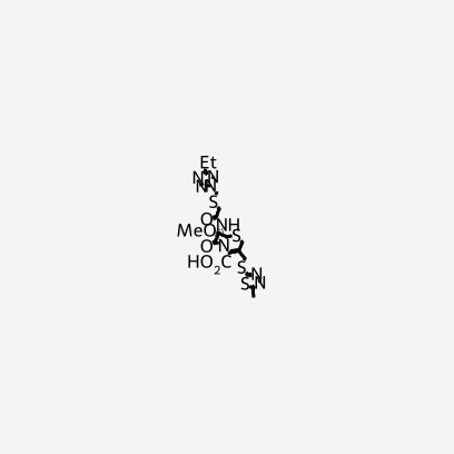 CCc1nnn(CSCC(=O)N[C@]2(OC)C(=O)N3C(C(=O)O)=C(CSc4nnc(C)s4)CSC32)n1